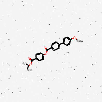 CCCCCCCCCCOc1ccc(-c2ccc(C(=O)Oc3ccc(C(=O)OC(CCCCCCCCCC)C(F)(F)F)cc3)cc2)cc1